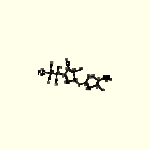 Cc1nc(Cn2nc(C(F)(F)C(F)(F)C(F)(F)F)c(Cl)c2C)ccc1N